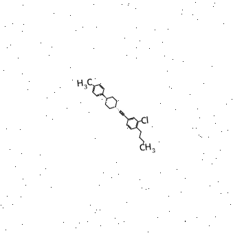 CCCCc1ccc(C#C[C@H]2CC[C@H](c3ccc(C)cc3)CC2)cc1Cl